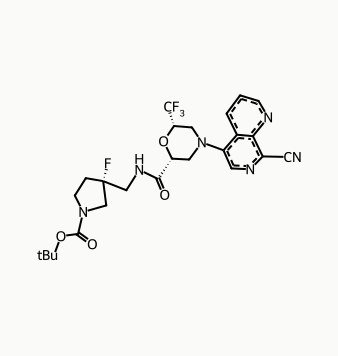 CC(C)(C)OC(=O)N1CC[C@@](F)(CNC(=O)[C@H]2CN(c3cnc(C#N)c4ncccc34)C[C@@H](C(F)(F)F)O2)C1